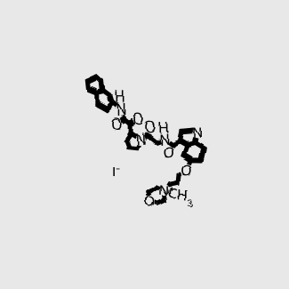 C[N+]1(CCCOc2ccc3nccc(C(=O)NCC(=O)N4CCCC4C(=O)C(=O)Nc4ccc5ccccc5c4)c3c2)CCOCC1.[I-]